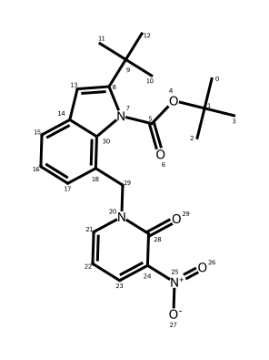 CC(C)(C)OC(=O)n1c(C(C)(C)C)cc2cccc(Cn3cccc([N+](=O)[O-])c3=O)c21